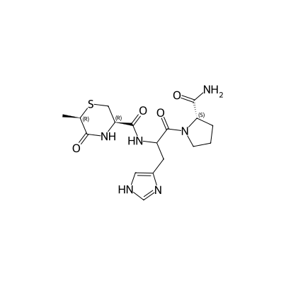 C[C@H]1SC[C@@H](C(=O)NC(Cc2c[nH]cn2)C(=O)N2CCC[C@H]2C(N)=O)NC1=O